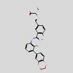 O=C(O)[C@@H](CO)N=Cc1ccc2snc(Nc3cccc(-c4ccc5c(c4)OCCO5)c3Br)c2c1